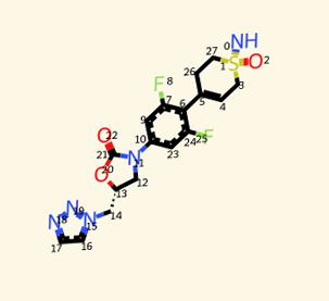 N=S1(=O)CC=C(c2c(F)cc(N3C[C@H](Cn4ccnn4)OC3=O)cc2F)CC1